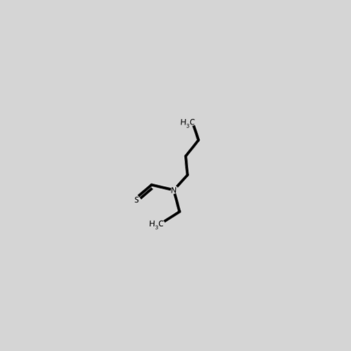 CCCCN(C=S)CC